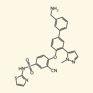 Cn1nccc1-c1cc(-c2cccc(CN)c2)ccc1Oc1ccc(S(=O)(=O)Nc2nccs2)cc1C#N